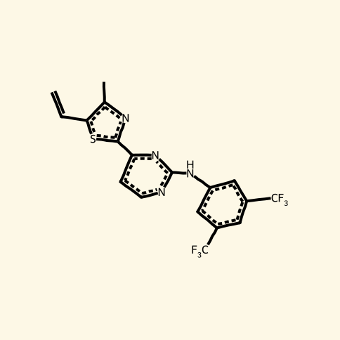 C=Cc1sc(-c2ccnc(Nc3cc(C(F)(F)F)cc(C(F)(F)F)c3)n2)nc1C